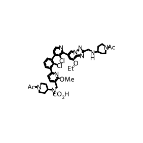 CCOc1cc(-c2nccc(-c3cccc(-c4ccc(CN(C(=O)O)C5CCN(C(C)=O)CC5)c(OC)n4)c3Cl)c2Cl)cn2nc(CNC3CCN(C(C)=O)CC3)nc12